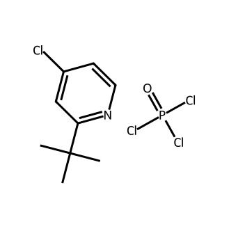 CC(C)(C)c1cc(Cl)ccn1.O=P(Cl)(Cl)Cl